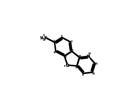 Nc1ccc2c(c1)oc1cccnc12